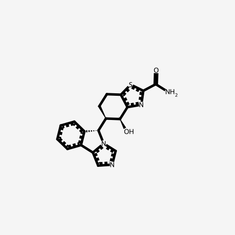 NC(=O)c1nc2c(s1)CC[C@H]([C@H]1c3ccccc3-c3cncn31)[C@@H]2O